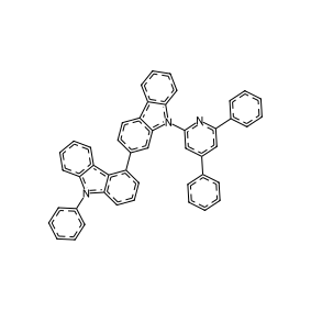 c1ccc(-c2cc(-c3ccccc3)nc(-n3c4ccccc4c4ccc(-c5cccc6c5c5ccccc5n6-c5ccccc5)cc43)c2)cc1